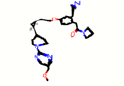 COCc1cnc(N2CCC([C@H]3C[C@H]3CCOc3ccc(CC(=O)N4CCC4)c(C#N)c3)CC2)nc1